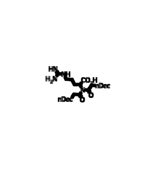 CCCCCCCCCCCC(=O)N(C(=O)CCCCCCCCCCC)C(CCCNC(=N)N)C(=O)O